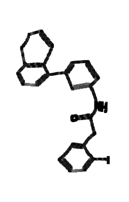 O=C(Cc1ccccc1I)Nc1cccc(-c2cccc3c2C=CCC3)c1